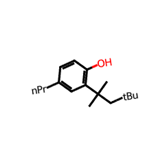 CCCc1ccc(O)c(C(C)(C)CC(C)(C)C)c1